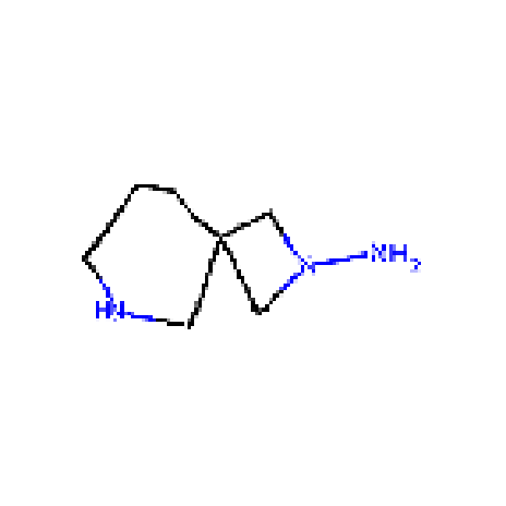 NN1CC2(CCCNC2)C1